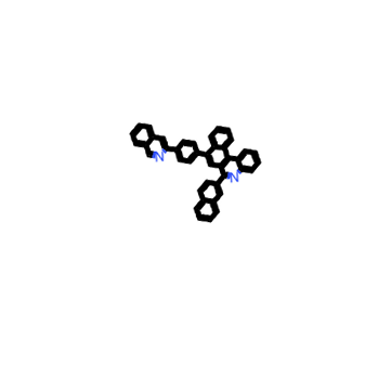 c1ccc2cc(-c3nc4ccccc4c4c3cc(-c3ccc(-c5cc6ccccc6cn5)cc3)c3ccccc34)ccc2c1